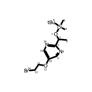 CC(O[Si](C)(C)C(C)(C)C)c1ncc(OCCBr)cn1